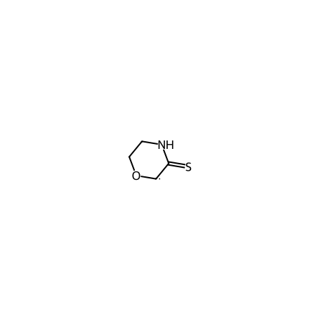 S=C1[CH]OCCN1